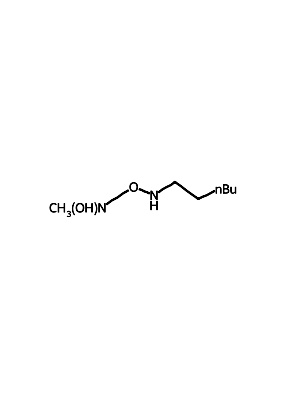 CCCCCCNON(C)O